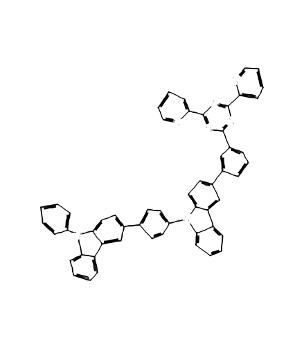 c1ccc(-n2c3ccccc3c3cc(-c4ccc(-n5c6ccccc6c6cc(-c7cccc(-c8nc(-c9ccccn9)nc(-c9ccccn9)n8)c7)ccc65)cc4)ccc32)cc1